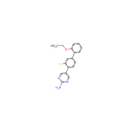 Nc1ncc(-c2ccc(-c3ccccc3OCC(=O)O)cc2F)cn1